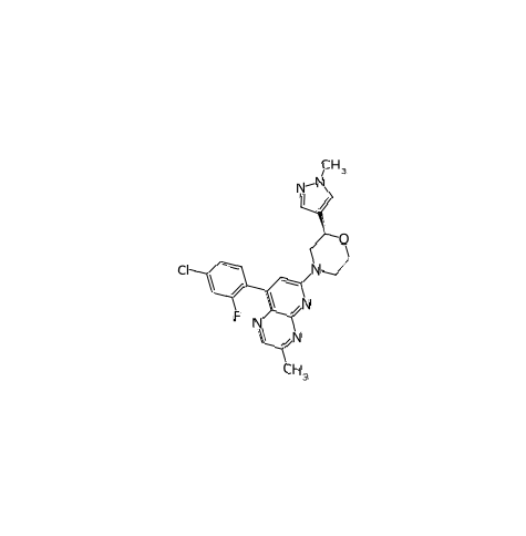 Cc1cnc2c(-c3ccc(Cl)cc3F)cc(N3CCO[C@H](c4cnn(C)c4)C3)nc2n1